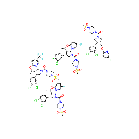 CC(Oc1ccc(C(F)(F)F)cn1)C1CN(C(=O)N2CCN(S(C)(=O)=O)CC2)CC1c1ccc(Cl)c(Cl)c1.CC(Oc1ccc(F)cn1)C1CN(C(=O)N2CCN(S(C)(=O)=O)CC2)CC1c1ccc(Cl)c(Cl)c1.CC(Oc1ccc(F)cn1)C1CN(C(=O)N2CCN(S(C)(=O)=O)CC2)CC1c1ccc(Cl)c(Cl)c1.CS(=O)(=O)N1CCN(C(=O)N2CC(COc3ccc(Cl)cn3)C(c3ccc(Cl)c(Cl)c3)C2)CC1